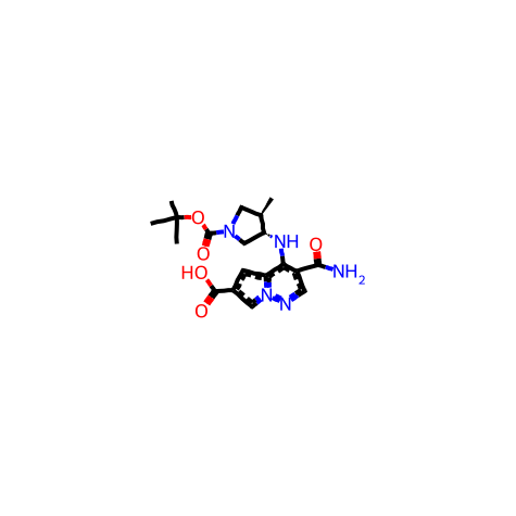 C[C@@H]1CN(C(=O)OC(C)(C)C)C[C@H]1Nc1c(C(N)=O)cnn2cc(C(=O)O)cc12